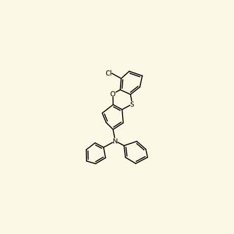 Clc1cccc2c1Oc1ccc(N(c3ccccc3)c3ccccc3)cc1S2